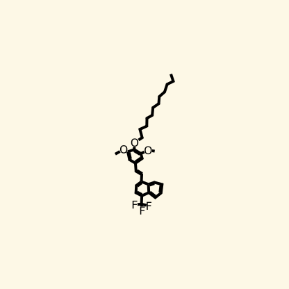 CCCCCCCCCCCCOc1c(OC)cc(/C=C/c2ccc(C(F)(F)F)c3ccccc23)cc1OC